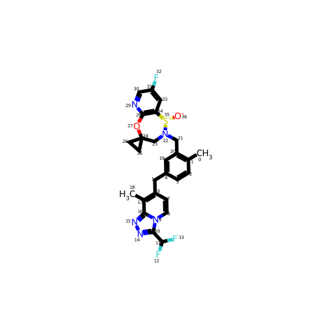 Cc1ccc(Cc2ccn3c(C(F)F)nnc3c2C)cc1CN1CC2(CC2)Oc2ncc(F)cc2[S+]1[O-]